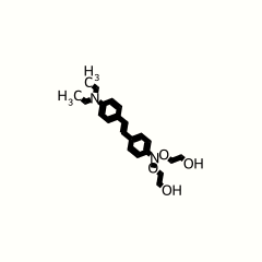 CCN(CC)c1ccc(C=Cc2ccc(N(OCCO)OCCO)cc2)cc1